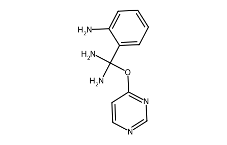 Nc1ccccc1C(N)(N)Oc1ccncn1